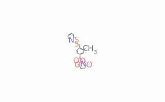 Cc1cc(C(=O)ON2C(=O)CCC2=O)ccc1CSSc1ccccn1